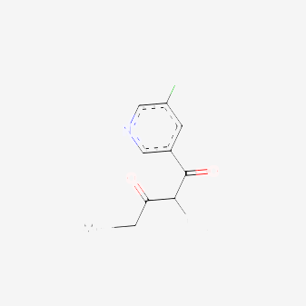 CCOC(=O)C(C(=O)COC)C(=O)c1cncc(Cl)c1